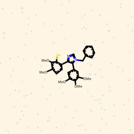 COc1cc(-c2c(-c3ccc(OC)c(OC)c3S)ncn2Cc2ccccc2)cc(OC)c1OC